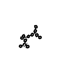 c1ccc(-c2ccc(N(c3ccc(-c4ccccc4)cc3)c3ccc(-c4ccc(N(c5ccc(-c6cc(-c7ccccc7)nc(-c7ccccc7)n6)cc5)c5cccc6ccccc56)cc4)cc3)cc2)cc1